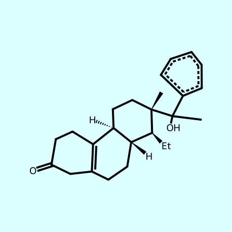 CC[C@H]1[C@@H]2CCC3=C(CCC(=O)C3)[C@H]2CC[C@]1(C)C(C)(O)c1ccccc1